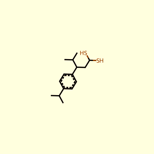 CC(C)c1ccc(C(CC(S)S)C(C)C)cc1